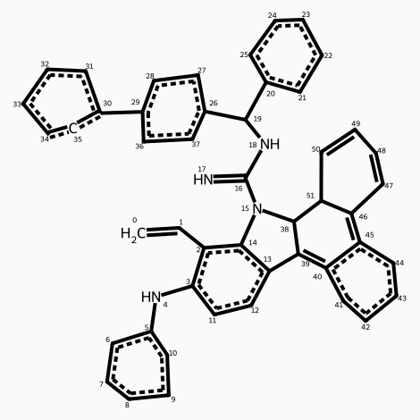 C=Cc1c(Nc2ccccc2)ccc2c1N(C(=N)NC(c1ccccc1)c1ccc(-c3ccccc3)cc1)C1C2=c2ccccc2=C2C=CC=CC21